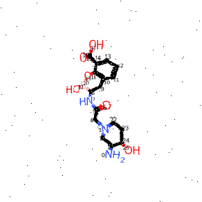 NC1CN(CC(=O)NC2Cc3cccc(C(=O)O)c3OB2O)CCC1O